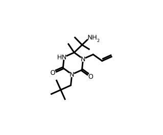 C=CCN1C(=O)N(CC(C)(C)C)C(=O)NC1(C)C(C)(C)N